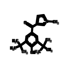 Cn1ccc(C(=O)c2cc(C(C)(C)C)c(O)c(C(C)(C)C)c2)c1